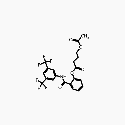 CC(=O)OCCCC(=O)Oc1ccccc1C(=O)Nc1cc(C(F)(F)F)cc(C(F)(F)F)c1